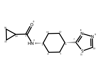 O=C(N[C@H]1CC[C@@H](c2nncs2)CC1)C1CC1